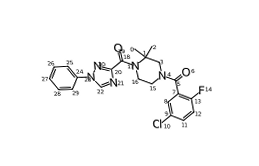 CC1(C)CN(C(=O)c2cc(Cl)ccc2F)CCN1C(=O)c1ncn(-c2ccccc2)n1